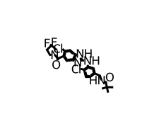 CC(C)(C)C(=O)NCc1ccc(Cl)c(Nc2nc3cc(C(=O)N4CCC(F)(F)C4)c(Cl)cc3[nH]2)c1